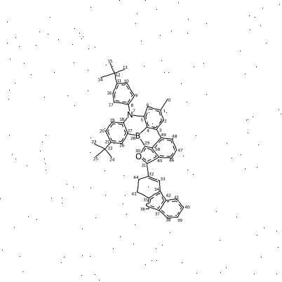 Cc1cc2c3c(c1)N(c1ccc(C(C)(C)C)cc1)c1ccc(C(C)(C)C)cc1B3c1oc(C3=Cc4c(sc5ccccc45)CC3)c3cccc-2c13